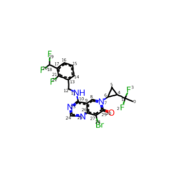 CC(F)(F)C1CC1n1cc2c(NCc3cccc(C(F)F)c3F)ncnc2c(Br)c1=O